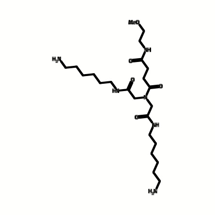 COCCNC(=O)CCC(=O)N(CC(=O)NCCCCCCN)CC(=O)NCCCCCCN